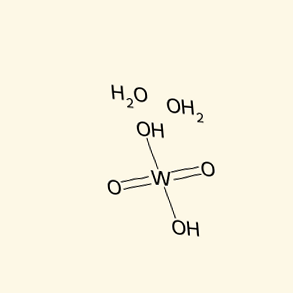 O.O.[O]=[W](=[O])([OH])[OH]